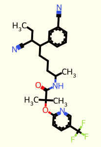 CCC(C#N)C(CCCC(C)NC(=O)C(C)(C)Oc1ccc(C(F)(F)F)cn1)c1cccc(C#N)c1